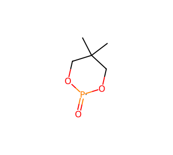 CC1(C)CO[P](=O)OC1